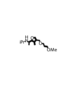 C=c1c(COC/C=C/OC)co/c1=C(/C)NC(C)C